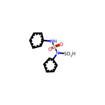 O=S(=O)(O)N(c1ccccc1)S(=O)(=O)Nc1ccccc1